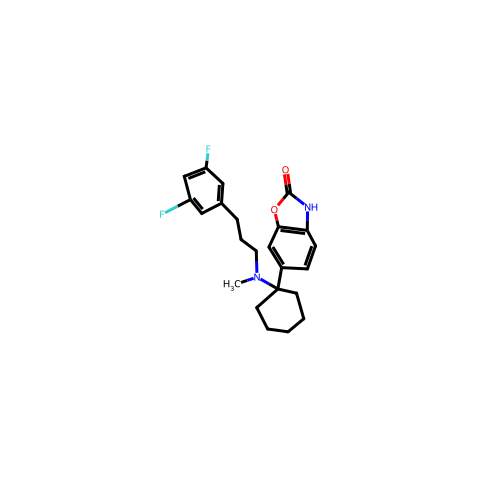 CN(CCCc1cc(F)cc(F)c1)C1(c2ccc3[nH]c(=O)oc3c2)CCCCC1